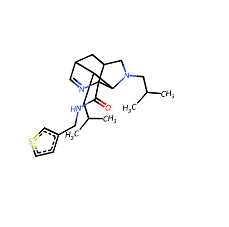 CC(C)CC1C2C=NC3(C(=O)NCc4ccsc4)C(C2)CN(CC(C)C)C13